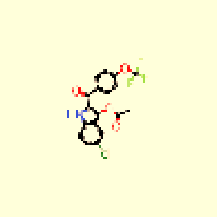 CC(=O)Oc1c(C(=O)c2ccc(OC(F)(F)F)cc2)[nH]c2ccc(Cl)cc12